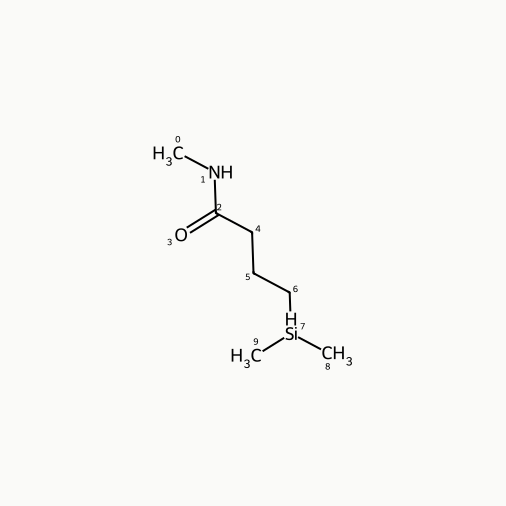 CNC(=O)CCC[SiH](C)C